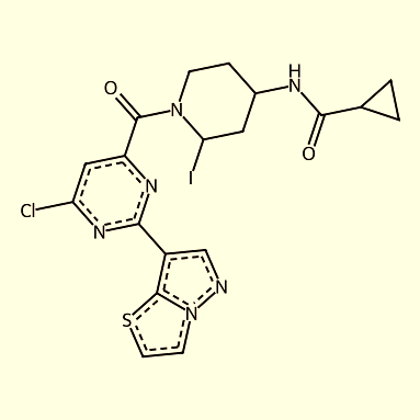 O=C(NC1CCN(C(=O)c2cc(Cl)nc(-c3cnn4ccsc34)n2)C(I)C1)C1CC1